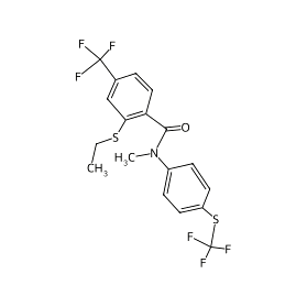 CCSc1cc(C(F)(F)F)ccc1C(=O)N(C)c1ccc(SC(F)(F)F)cc1